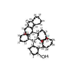 Oc1cccc(N(c2ccccc2)c2ccccc2-c2cccc3oc4ccccc4c23)c1-c1ccccc1